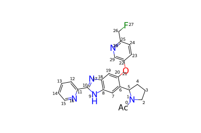 CC(=O)N1CCCC1c1cc2[nH]c(-c3ccccn3)nc2cc1Oc1ccc(CF)nc1